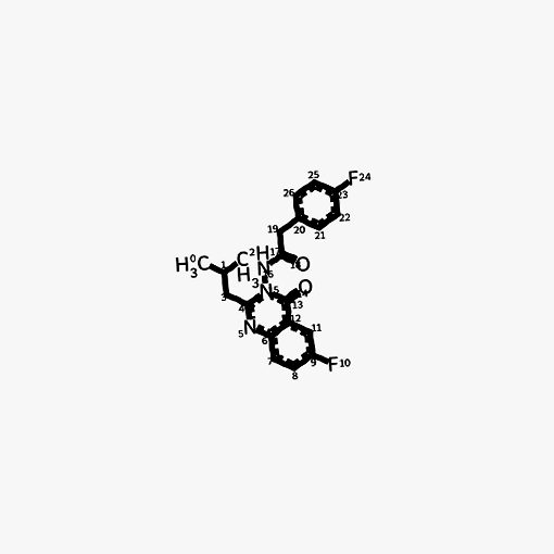 CC(C)Cc1nc2ccc(F)cc2c(=O)n1NC(=O)Cc1ccc(F)cc1